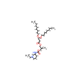 [CH2]C(COC(=O)CCC(OCCCCCCCC)OCCCCCCCC)COC(=O)NC1CCCN(CC)C1